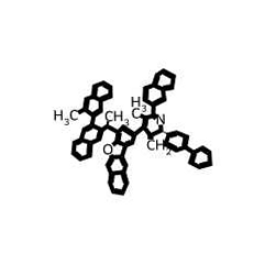 C=C1C(c2cc([C@H](C)c3cc4ccccc4cc3-c3cc4ccccc4cc3C)c3oc4cc5ccccc5cc4c3c2)=C(C)C(c2ccc3ccccc3c2)=N[C@@H]1c1ccc(-c2ccccc2)cc1